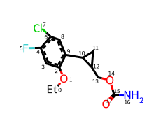 CCOc1cc(F)c(Cl)cc1C1CC1COC(N)=O